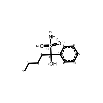 CCCCC(O)(c1ccccc1)S(N)(=O)=O